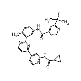 Cc1ccc(NC(=O)c2ccnc(C(C)(C)F)c2)cc1-c1nccc(-c2ccnc(NC(=O)C3CC3)c2)n1